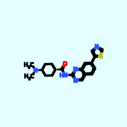 CN(C)[C@H]1CC[C@H](C(=O)Nc2ncc3ccc(-c4cncs4)cc3n2)CC1